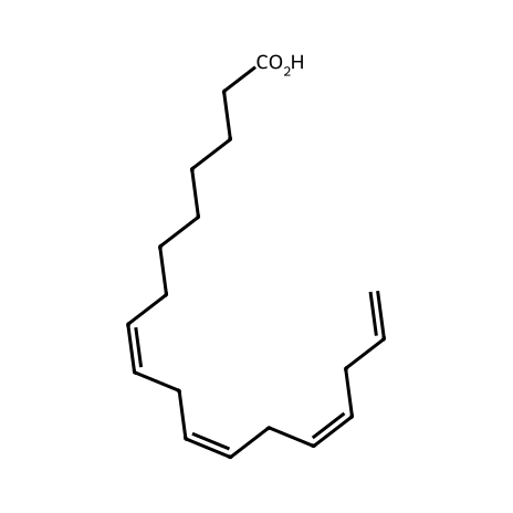 C=CC/C=C\C/C=C\C/C=C\CCCCCCC(=O)O